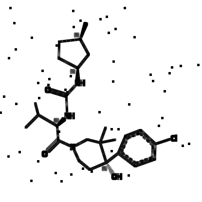 CC(C)[C@@H](NC(=O)N[C@H]1CC[C@@H](C)C1)C(=O)N1CC[C@](O)(c2ccc(Cl)cc2)C(C)(C)C1